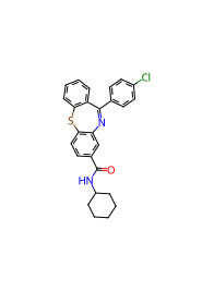 O=C(NC1CCCCC1)c1ccc2c(c1)N=C(c1ccc(Cl)cc1)c1ccccc1S2